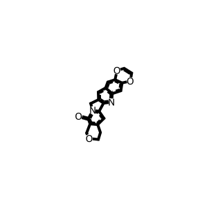 O=c1c2c(cc3n1Cc1cc4cc5c(cc4nc1-3)OC=CO5)CCOC2